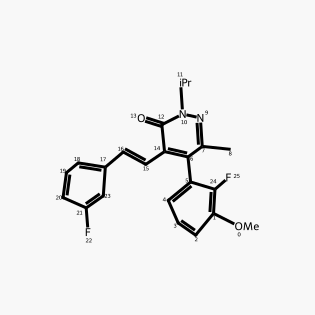 COc1cccc(-c2c(C)nn(C(C)C)c(=O)c2C=Cc2cccc(F)c2)c1F